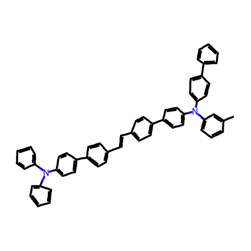 Cc1cccc(N(c2ccc(-c3ccccc3)cc2)c2ccc(-c3ccc(/C=C/c4ccc(-c5ccc(N(c6ccccc6)c6ccccc6)cc5)cc4)cc3)cc2)c1